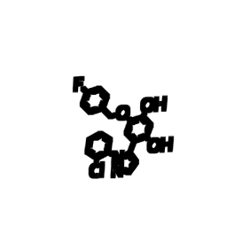 Oc1cc(O)c(-c2ccnn2-c2ccccc2Cl)cc1OCc1ccc(F)cc1